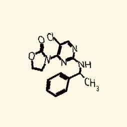 C[C@H](Nc1ncc(Cl)c(N2CCOC2=O)n1)c1ccccc1